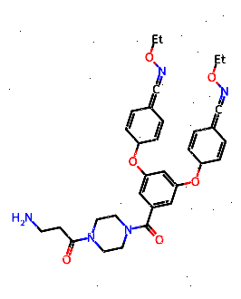 CCON=C=C1C=CC(Oc2cc(OC3C=CC(=C=NOCC)C=C3)cc(C(=O)N3CCN(C(=O)CCN)CC3)c2)C=C1